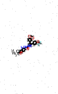 CC1(C)Cc2cc(NC(=O)N3CC(c4ccc5c(c4)OCCO5)C(c4ccc(OC(F)F)cc4)=N3)ccc2O1